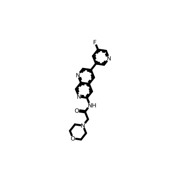 O=C(CN1CCOCC1)Nc1cc2cc(-c3cncc(F)c3)cnc2cn1